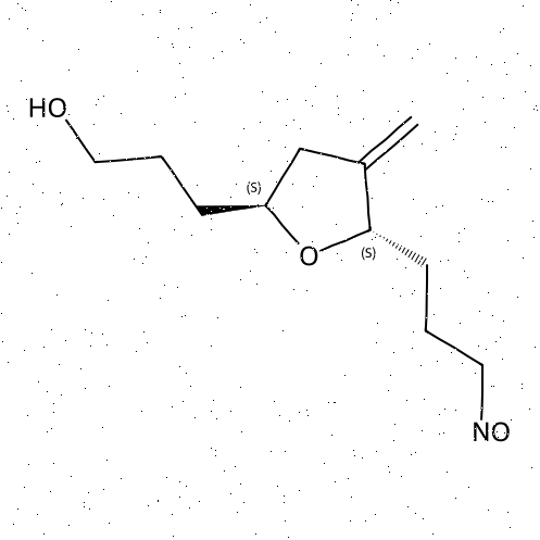 C=C1C[C@H](CCCO)O[C@H]1CCCN=O